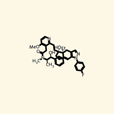 CC[C@]12Cc3cnn(-c4ccc(F)cc4)c3C=C1CC[C@@]2(O)CCc1nccc(OC)c1CC(=O)N(C)[C@H](C)[C@@H](O)c1ccccc1